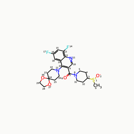 C[S+]([O-])C1CCN(C(=O)c2cnc3c(F)cc(F)cc3c2N2CCC3(CC2)OCCO3)CC1